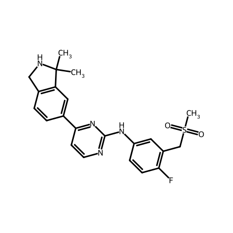 CC1(C)NCc2ccc(-c3ccnc(Nc4ccc(F)c(CS(C)(=O)=O)c4)n3)cc21